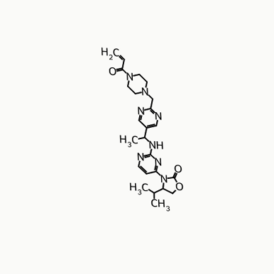 C=CC(=O)N1CCN(Cc2ncc(C(C)Nc3nccc(N4C(=O)OCC4C(C)C)n3)cn2)CC1